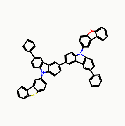 c1ccc(-c2ccc3c(c2)c2cc(-c4ccc5c(c4)c4cc(-c6ccccc6)ccc4n5-c4ccc5sc6ccccc6c5c4)ccc2n3-c2ccc3oc4ccccc4c3c2)cc1